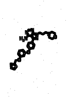 Nc1ncnc2c1c(-c1ccc(Oc3cccc(OCc4cccs4)c3)cc1)nn2CCCN1CCOCC1